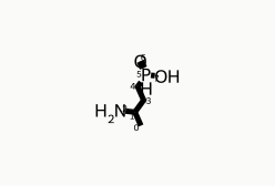 CC(N)CC[PH](=O)O